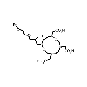 CCOCCOCC(O)CN1CCN(CC(=O)O)CCN(CC(=O)O)CCN(CC(=O)O)CC1